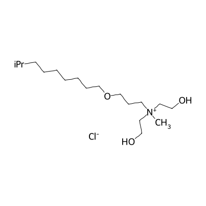 CC(C)CCCCCCCOCCC[N+](C)(CCO)CCO.[Cl-]